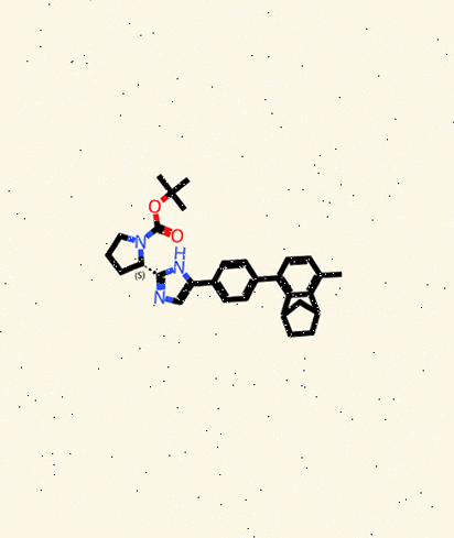 Cc1ccc(-c2ccc(-c3cnc([C@@H]4CCCN4C(=O)OC(C)(C)C)[nH]3)cc2)c2c1C1CCC2C1